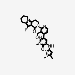 Cc1cc(Nc2cc(-c3ccnc(N4CCc5c(c(F)c6n5CCCC6)C4=O)c3CO)cn(C)c2=O)nn1C